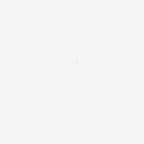 O=C(Cl)c1ccc(C(F)(F)F)c(S(=O)(=O)N2CCC(F)(F)CC2)c1